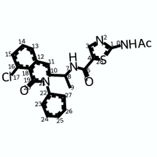 CC(=O)Nc1ncc(C(=O)NC(C)c2cc3cccc(Cl)c3c(=O)n2-c2ccccc2)s1